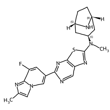 Cc1cn2cc(-c3ncc4nc(N(C)[C@@H]5C[C@H]6CC[C@@H](C5)N6)sc4n3)cc(F)c2n1